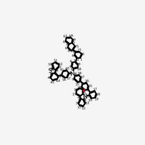 c1cc(-c2ccc(N(c3ccc(-c4ccc(-c5ccccc5-n5c6ccccc6c6ccccc65)cc4)cc3)c3ccc(-c4cccc5sc6ccccc6c45)cc3)cc2)cc(-c2ccc3ccccc3c2)c1